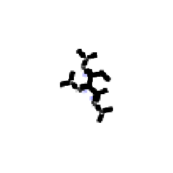 CCC(=N\N(C)C)/C(=N\N(C)C)C(/C)=N/N(C)C